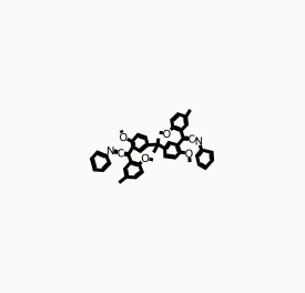 COc1ccc(C)cc1C(=C=Nc1ccccc1)c1cc(C(C)(C)c2ccc(OC)c(C(=C=Nc3ccccc3)c3cc(C)ccc3OC)c2)ccc1OC